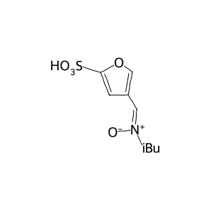 CCC(C)[N+]([O-])=Cc1coc(S(=O)(=O)O)c1